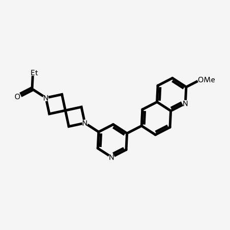 CCC(=O)N1CC2(C1)CN(c1cncc(-c3ccc4nc(OC)ccc4c3)c1)C2